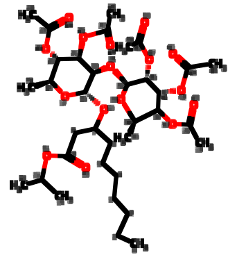 CCCCCCCC(CC(=O)OC(C)C)O[C@@H]1O[C@@H](C)[C@H](OC(C)=O)[C@@H](OC(C)=O)[C@H]1O[C@@H]1O[C@H](C)C(OC(C)=O)[C@@H](OC(C)=O)[C@H]1OC(C)=O